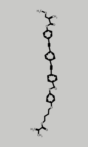 C=C(C)C(=O)OCCCCOc1ccc(SC(=O)c2ccc(C#Cc3ccc(C#Cc4ccc(OC(=O)C(=C)COC)cc4)cc3)cc2)cc1